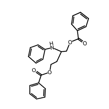 O=C(OCCC(COC(=O)c1ccccc1)Nc1ccccc1)c1ccccc1